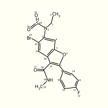 CCN(c1cc2oc(-c3ccc(F)cc3)c(C(=O)NC)c2cc1Br)[SH](=O)=O